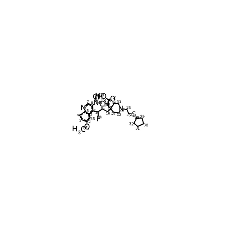 COc1ccc2ncc(N(C)C)c(C(F)CCC3(CC(=O)O)CCN(CCSC4CCCC4)CC3)c2c1